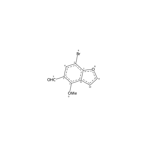 COc1c(C=O)cc(Br)c2occc12